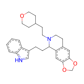 c1ccc2c(CCC3c4cc5c(cc4CCN3CCC3CCOCC3)OCO5)c[nH]c2c1